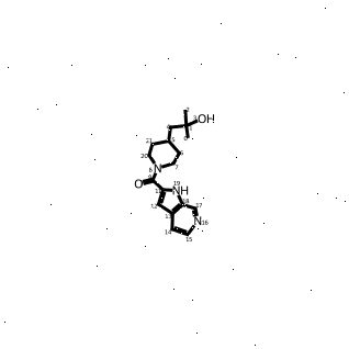 CC(C)(O)CC1CCN(C(=O)c2cc3ccncc3[nH]2)CC1